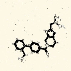 CN(C)Cc1cc2c(o1)CN(C(=O)c1ccc(-c3ccccc3CO)cc1)CC2